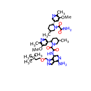 COc1cc([C@H]2CC[C@H](C)CN2C(=O)C(=O)Nc2cnc(N)c3cnn(COCC[Si](C)(C)C)c23)cnc1C.COc1cc([C@H]2CC[C@H](C)CN2C(=O)C(N)=O)cnc1C